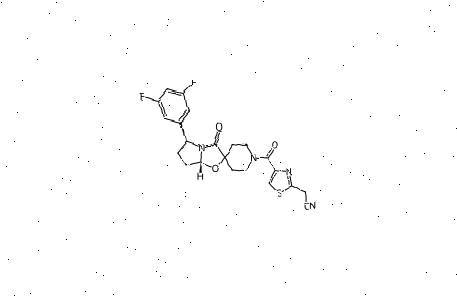 N#CCc1nc(C(=O)N2CCC3(CC2)O[C@@H]2CC[C@@H](c4cc(F)cc(F)c4)N2C3=O)cs1